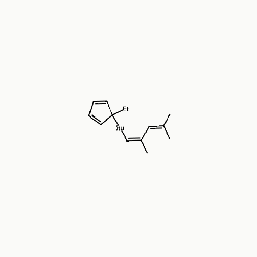 CC[C]1([Ru][CH]=C(C)C=C(C)C)C=CC=C1